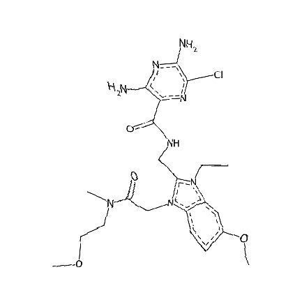 CCn1c(CNC(=O)c2nc(Cl)c(N)nc2N)[n+](CC(=O)N(C)CCOC)c2ccc(OC)cc21